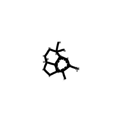 CC(=O)c1cc2c3c(c1C)CCC3(C)CCC2(C)C